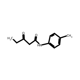 CCC(=O)CC(=O)Nc1ccc(C)cc1